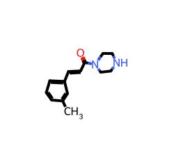 Cc1cccc(C=CC(=O)N2CCNCC2)c1